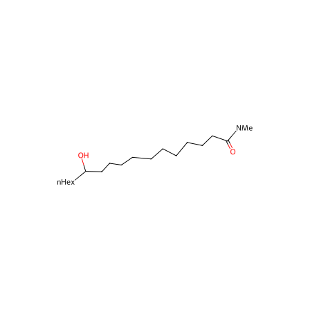 [CH2]NC(=O)CCCCCCCCCCC(O)CCCCCC